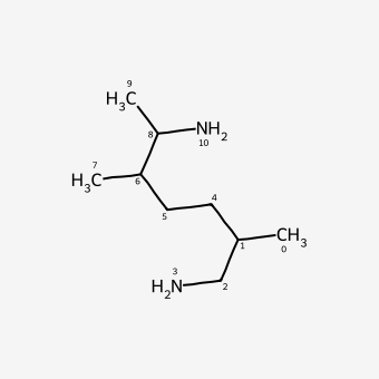 CC(CN)CCC(C)C(C)N